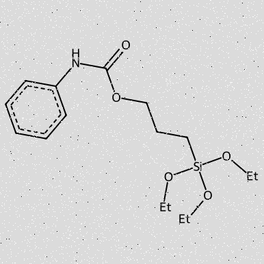 CCO[Si](CCCOC(=O)Nc1ccccc1)(OCC)OCC